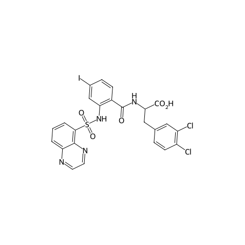 O=C(NC(Cc1ccc(Cl)c(Cl)c1)C(=O)O)c1ccc(I)cc1NS(=O)(=O)c1cccc2nccnc12